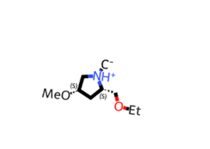 [CH2-][NH+]1C[C@@H](OC)C[C@H]1COCC